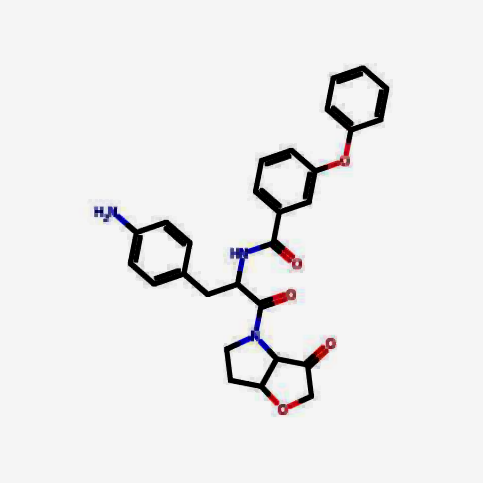 Nc1ccc(CC(NC(=O)c2cccc(Oc3ccccc3)c2)C(=O)N2CCC3OCC(=O)C32)cc1